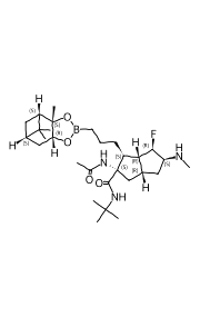 CN[C@H]1C[C@@H]2C[C@@](NC(C)=O)(C(=O)NC(C)(C)C)[C@@H](CCCB3O[C@@H]4C[C@@H]5C[C@@H](C5(C)C)[C@]4(C)O3)[C@@H]2[C@H]1F